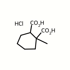 CC1(C(=O)O)CCCCC1C(=O)O.Cl